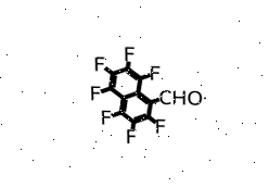 O=[C]c1c(F)c(F)c(F)c2c(F)c(F)c(F)c(F)c12